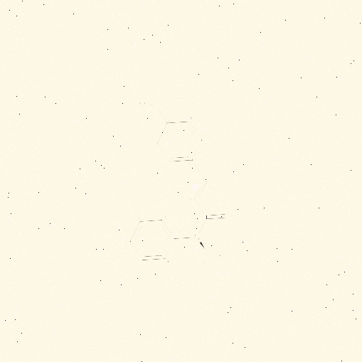 CCC[C@H](C)N(C(=O)/C=C/c1ccc(OC)cc1)c1ccccc1